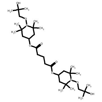 CC(C)(O)CON1C(C)(C)CC(OC(=O)CCCC(=O)OC2CC(C)(C)N(OCC(C)(C)O)C(C)(C)C2)CC1(C)C